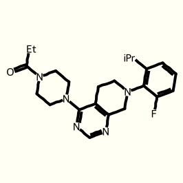 CCC(=O)N1CCN(c2ncnc3c2CCN(c2c(F)cccc2C(C)C)C3)CC1